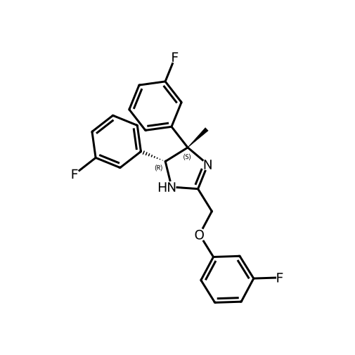 C[C@@]1(c2cccc(F)c2)N=C(COc2cccc(F)c2)N[C@@H]1c1cccc(F)c1